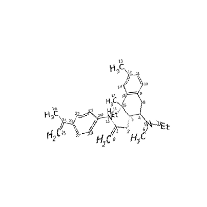 C=C(C[C@H]1C(N(C)CC)Cc2ccc(C)cc2[C@@]1(C)CC)Nc1ccc(C(=C)C)cc1